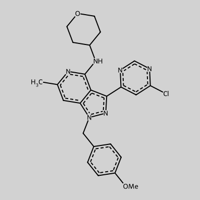 COc1ccc(Cn2nc(-c3cc(Cl)ncn3)c3c(NC4CCOCC4)nc(C)cc32)cc1